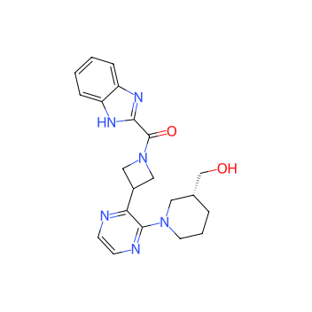 O=C(c1nc2ccccc2[nH]1)N1CC(c2nccnc2N2CCC[C@@H](CO)C2)C1